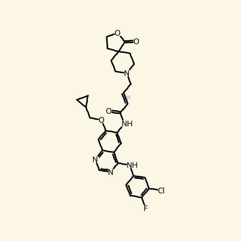 O=C(/C=C/CN1CCC2(CCOC2=O)CC1)Nc1cc2c(Nc3ccc(F)c(Cl)c3)ncnc2cc1OCC1CC1